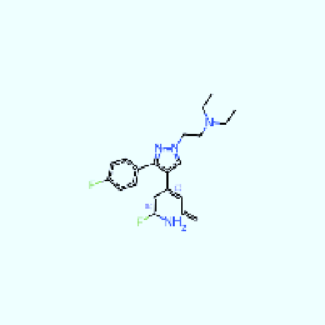 C=C/C=C(\C=C(/N)F)c1cn(CCN(CC)CC)nc1-c1ccc(F)cc1